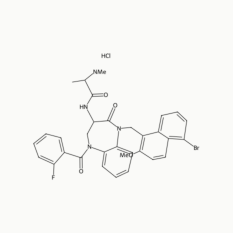 CNC(C)C(=O)NC1CN(C(=O)c2ccccc2F)c2ccccc2N(Cc2c(OC)ccc3c(Br)cccc23)C1=O.Cl